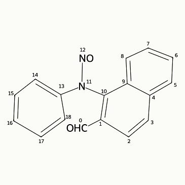 O=Cc1ccc2ccccc2c1N(N=O)c1ccccc1